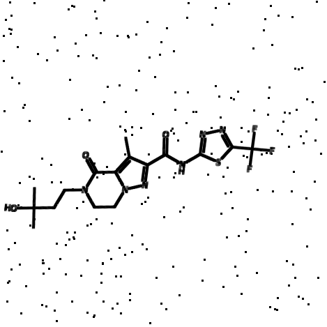 Cc1c(C(=O)Nc2nnc(C(F)(F)F)s2)nn2c1C(=O)N(CCC(C)(C)O)CC2